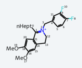 CCCCCCCC1=[N+](Cc2ccc(F)c(F)c2)CCc2cc(OC)c(OC)cc21